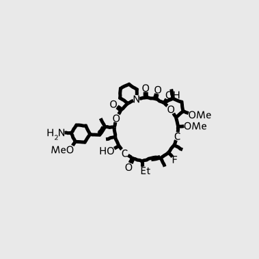 CCC1/C=C(\C)C(F)C(C)CC(OC)C2OC(O)(C(=O)C(=O)N3CCCCC3C(=O)OC(C(C)=CC3CCC(N)C(OC)C3)C(C)C(O)CC1=O)C(C)CC2OC